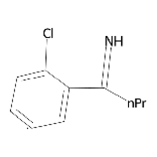 CCCC(=N)c1c[c]ccc1Cl